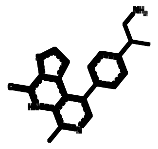 Cc1ncc(-c2ccc(C(C)CN)cc2)c2c1[nH]c(=O)c1sccc12